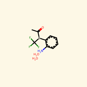 CC(=O)B(c1ccccc1N)C(F)(F)F.O.O